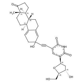 C[C@]12CC[C@@H]3C4=CCC(O)(C#Cc5cn([C@H]6C[C@H](O)[C@@H](CO)O6)c(=O)[nH]c5=O)C=C4CC[C@H]3[C@@H]1CCC2=O